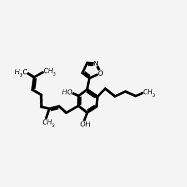 CCCCCc1cc(O)c(C/C=C(\C)CCC=C(C)C)c(O)c1-c1ccno1